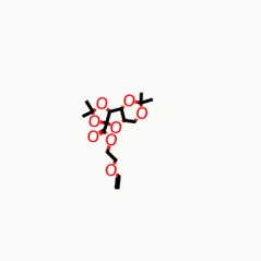 C=COCCOC(=O)C12OC3COC(C)(C)OC3C1OC(C)(C)O2